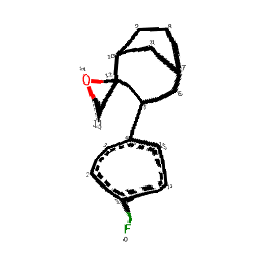 Fc1ccc(C2CC3CCC(C3)C23CO3)cc1